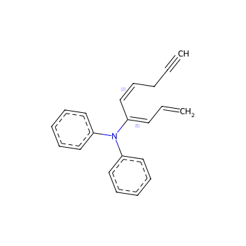 C#CC/C=C\C(=C/C=C)N(c1ccccc1)c1ccccc1